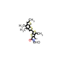 Cc1cc2c(C)c(C)c3cc(-c4sc(C)c5c6c(sc45)C(=O)N(C=O)C6)sc3c2s1